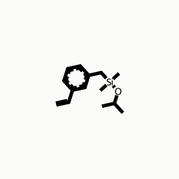 C=Cc1cccc(C[Si](C)(C)OC(C)C)c1